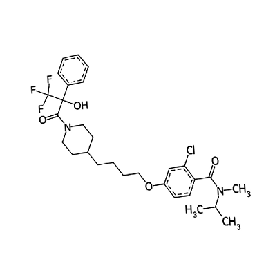 CC(C)N(C)C(=O)c1ccc(OCCCCC2CCN(C(=O)C(O)(c3ccccc3)C(F)(F)F)CC2)cc1Cl